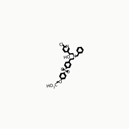 O=C(O)COc1ccc(S(=O)(=O)c2ccc(CCN(Cc3ccccc3)C[C@@H](O)c3ccc(Cl)nc3)cc2)cc1